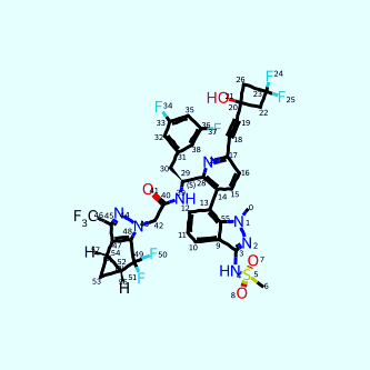 Cn1nc(NS(C)(=O)=O)c2cccc(-c3ccc(C#CC4(O)CC(F)(F)C4)nc3[C@H](Cc3cc(F)cc(F)c3)NC(=O)Cn3nc(C(F)(F)F)c4c3C(F)(F)[C@@H]3C[C@H]43)c21